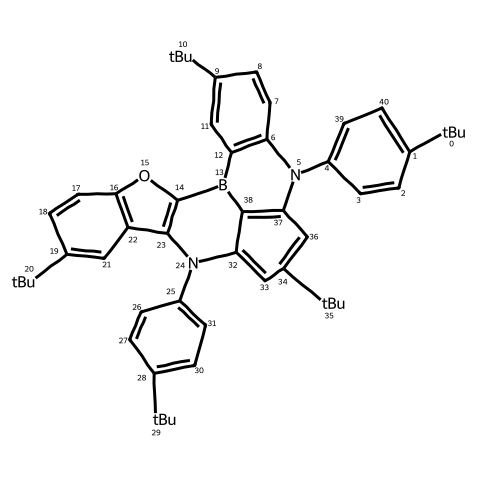 CC(C)(C)c1ccc(N2c3ccc(C(C)(C)C)cc3B3c4oc5ccc(C(C)(C)C)cc5c4N(c4ccc(C(C)(C)C)cc4)c4cc(C(C)(C)C)cc2c43)cc1